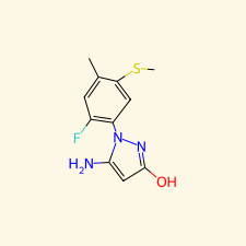 CSc1cc(-n2nc(O)cc2N)c(F)cc1C